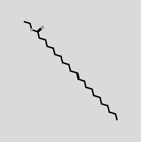 CCCCCCCCCC/C=C/CCCCCCCCCC(=O)OCC